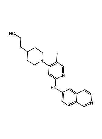 Cc1cnc(Nc2ccc3cnccc3c2)cc1N1CCC(CCO)CC1